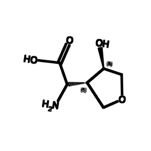 NC(C(=O)O)[C@H]1COC[C@@H]1O